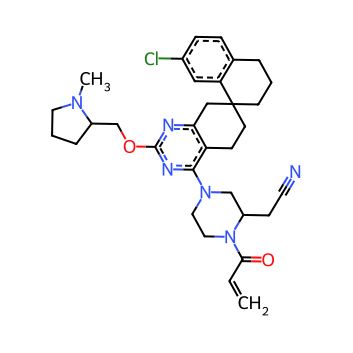 C=CC(=O)N1CCN(c2nc(OCC3CCCN3C)nc3c2CCC2(CCCc4ccc(Cl)cc42)C3)CC1CC#N